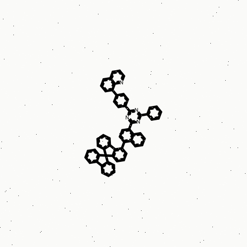 c1ccc(-c2nc(-c3ccc(-c4cccc5cccnc45)cc3)nc(-c3ccc(-c4cccc5c4-c4ccccc4C54c5ccccc5-c5ccccc54)c4ccccc34)n2)cc1